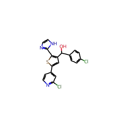 OC(c1ccc(Cl)cc1)c1cc(-c2ccnc(Cl)c2)sc1-c1ncc[nH]1